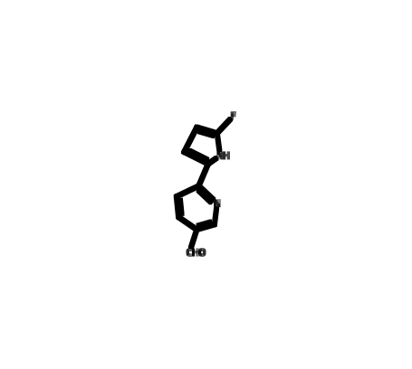 O=Cc1ccc(-c2ccc(F)[nH]2)nc1